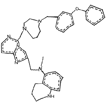 CN(Cc1cn2c(N3CCN(Cc4cccc(Oc5ccccc5)c4)CC3)nccc2n1)c1cccc2c1CCCN2